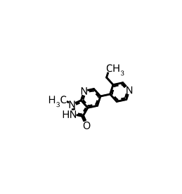 CCc1cnccc1-c1cnc2c(c1)c(=O)[nH]n2C